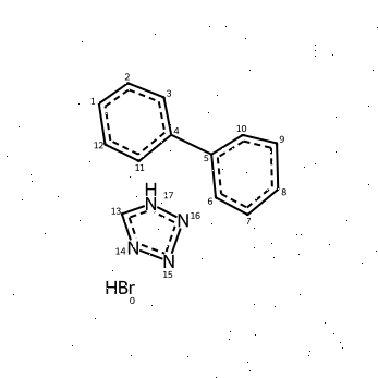 Br.c1ccc(-c2ccccc2)cc1.c1nnn[nH]1